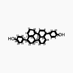 Oc1ccc(-c2ccc3c4cccc5c(-c6ccc(O)cc6)ccc(c6cccc2c63)c54)cc1